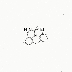 CCc1cccc(C)c1N(C(N)=S)c1c(C)cccc1C